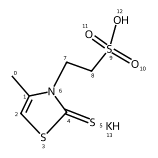 Cc1csc(=S)n1CCS(=O)(=O)O.[KH]